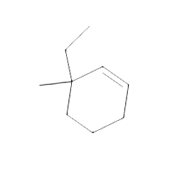 C[CH]C1(C)C=CCCC1